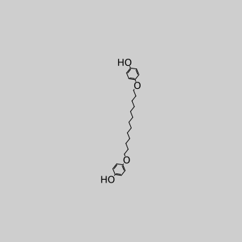 Oc1ccc(OCCCCCCCCCCCCCOc2ccc(O)cc2)cc1